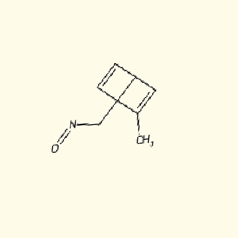 CC1=CC2C=CC12CN=O